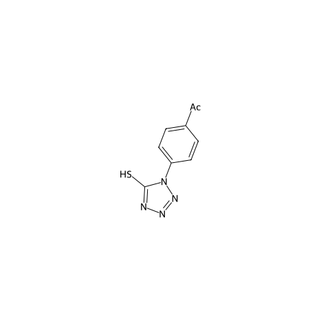 CC(=O)c1ccc(-n2nnnc2S)cc1